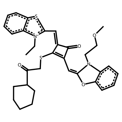 CC[n+]1c(/C=C2/C(=O)C(/C=C3/Oc4ccccc4N3CCOC)=C2SCC(=O)C2CCCCC2)sc2ccccc21